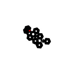 c1ccc(N(c2ccccc2)c2cccc(C3(c4ccccc4)c4ccccc4C4(c5ccccc5)c5ccccc5-c5cccc3c54)c2)cc1